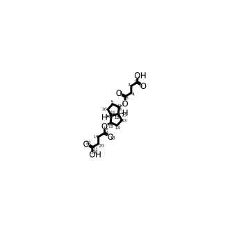 O=C(O)CCC(=O)O[C@H]1CC[C@H]2[C@@H]1CC[C@H]2OC(=O)CCC(=O)O